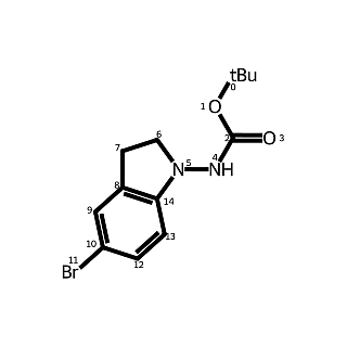 CC(C)(C)OC(=O)NN1CCc2cc(Br)ccc21